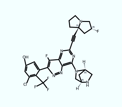 Oc1cc(Cl)c(C(F)(F)F)c(-c2nnc3c(N4C[C@H]5C[C@@H]4CN5)nc(C#C[C@@]45CCCN4C[C@H](F)C5)nc3c2F)c1